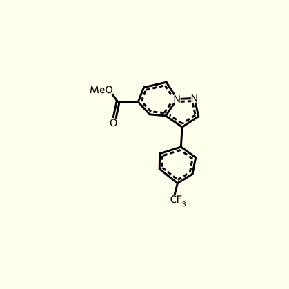 COC(=O)c1ccn2ncc(-c3ccc(C(F)(F)F)cc3)c2c1